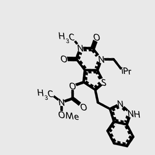 CON(C)C(=O)Oc1c(Cc2n[nH]c3ccccc23)sc2c1c(=O)n(C)c(=O)n2CC(C)C